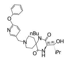 CCCCN1C(=O)[C@@H]([C@H](O)C(C)C)NC(=O)C12CCN(Cc1ccc(Oc3ccccc3)nc1)CC2